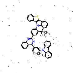 C/C=C(\C=C(/C)n1c2ccccc2c2ccccc21)c1nc(-c2ccc3c(c2)C(C)(C)c2cccc4c5sc6ccccc6c5n-3c24)nc2ccccc12